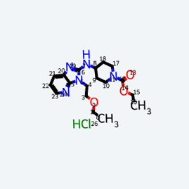 CCOCCn1c(NC2CCN(C(=O)OCC)CC2)nc2cccnc21.Cl